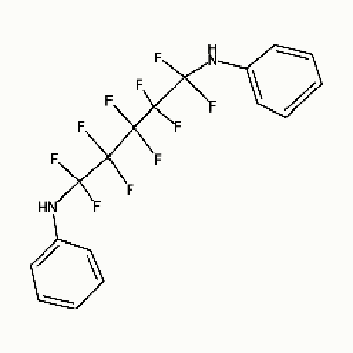 FC(F)(Nc1ccccc1)C(F)(F)C(F)(F)C(F)(F)C(F)(F)Nc1ccccc1